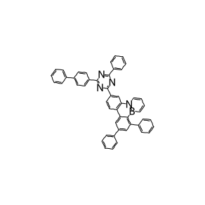 C1=CB2c3c(-c4ccccc4)cc(-c4ccccc4)cc3-c3ccc(-c4nc(-c5ccccc5)nc(-c5ccc(-c6ccccc6)cc5)n4)cc3N2C=C1